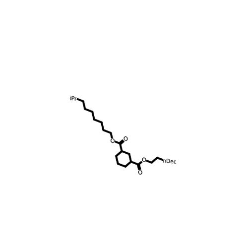 CCCCCCCCCCCCOC(=O)C1CCCC(C(=O)OCCCCCCCC(C)C)C1